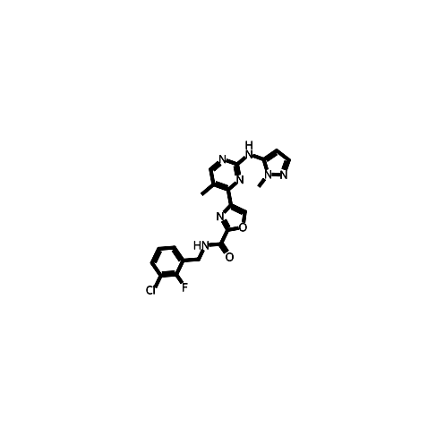 Cc1cnc(Nc2ccnn2C)nc1-c1coc(C(=O)NCc2cccc(Cl)c2F)n1